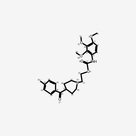 COc1ccc(NC(=O)OCCN2CCC(C(=O)c3ccc(I)cc3)CC2)c(OC)c1OC